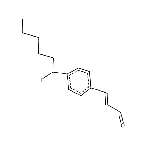 CCCCCC(I)c1ccc(C=CC=O)cc1